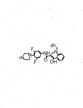 CC(C)CN1CC(C(=O)Nc2cc(F)c(N3CCN(C)CC3)c(F)c2)=C(O)c2ccccc21